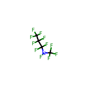 FN(C(F)(F)F)C(F)(F)C(F)(F)C(F)(F)F